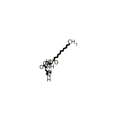 CCCCCCCCCCCC(=O)NCC(=O)N[C@@H](Cc1c[nH]cn1)C(=O)O